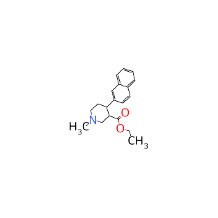 CCOC(=O)C1CN(C)CCC1c1ccc2ccccc2c1